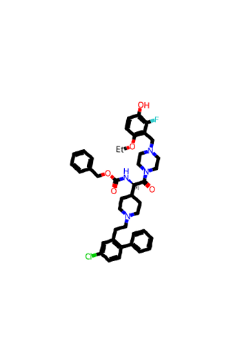 CCOc1ccc(O)c(F)c1CN1CCN(C(=O)[C@H](NC(=O)OCc2ccccc2)C2CCN(CCc3cc(Cl)ccc3-c3ccccc3)CC2)CC1